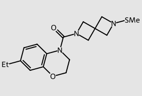 CCc1ccc2c(c1)OCCN2C(=O)N1CC2(CN(SC)C2)C1